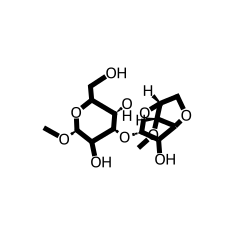 CO[C@@H]1OC(CO)[C@H](O)[C@H](O[C@@H]2O[C@@H]3COC(C2O)[C@@H]3OC)C1O